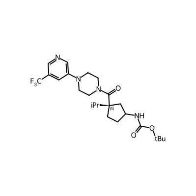 CC(C)[C@]1(C(=O)N2CCN(c3cncc(C(F)(F)F)c3)CC2)CCC(NC(=O)OC(C)(C)C)C1